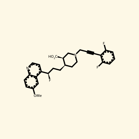 COc1ccc2nccc([C@H](F)CC[C@@H]3CCN(CC#Cc4c(F)cccc4F)C[C@@H]3C(=O)O)c2c1